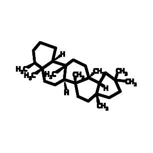 C[C@H]1CCC[C@@H]2[C@]1(C)CC[C@H]1[C@@]2(C)CC[C@@]2(C)[C@@H]3CC(C)(C)CC[C@]3(C)CC[C@]12C